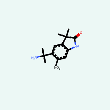 CC(C)(N)c1cc2c(cc1[N+](=O)[O-])NC(=O)C2(C)C